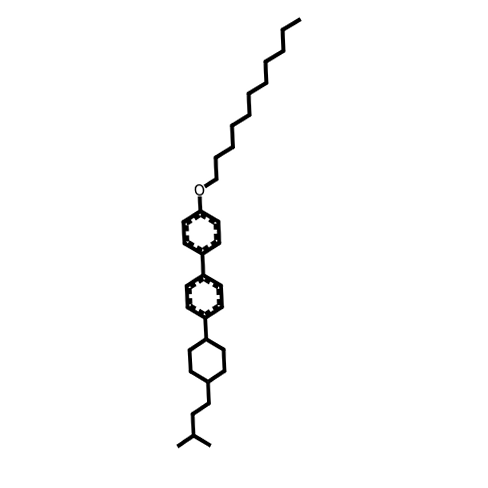 CCCCCCCCCCCOc1ccc(-c2ccc(C3CCC(CCC(C)C)CC3)cc2)cc1